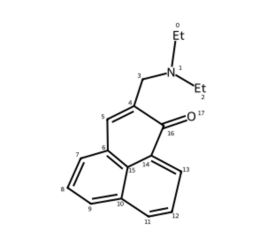 CCN(CC)CC1=Cc2cccc3cccc(c23)C1=O